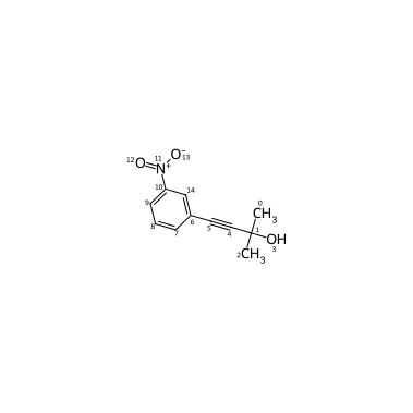 CC(C)(O)C#Cc1cccc([N+](=O)[O-])c1